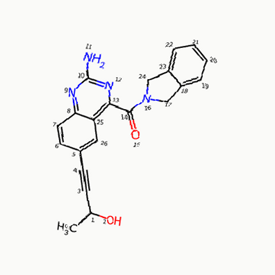 CC(O)C#Cc1ccc2nc(N)nc(C(=O)N3Cc4ccccc4C3)c2c1